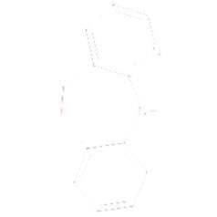 c1cnc2c(c1)COc1ccccc1N2